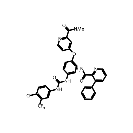 CNC(=O)c1cc(Oc2ccc(NC(=O)Nc3ccc(Cl)c(C(F)(F)F)c3)cc2)ccn1.NC(=O)c1ncccc1-c1ccccc1